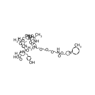 CC[C@@H](C)[C@H](NC(=O)CN(C)CCOCCOCCOCCNC(=O)OCC1CCN(c2ccccccc(C)cc2)CC1)C(=O)N(C)[C@H](CC(OC(C)=O)c1nc(C(=O)N[C@@H](Cc2ccc(O)cc2)C[C@H](C)C(=O)O)cs1)C(C)C